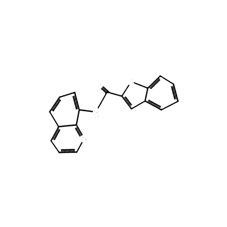 O=C(Nc1cccc2cccnc12)c1cc2ccccc2s1